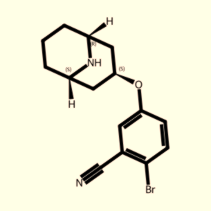 N#Cc1cc(O[C@@H]2C[C@H]3CCC[C@@H](C2)N3)ccc1Br